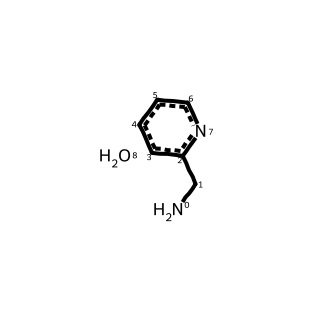 NCc1ccccn1.O